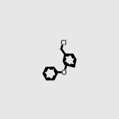 Cl[CH]c1cccc(Oc2ccccc2)c1